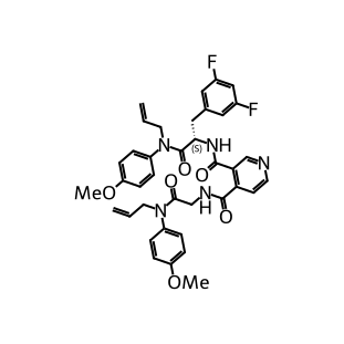 C=CCN(C(=O)CNC(=O)c1ccncc1C(=O)N[C@@H](Cc1cc(F)cc(F)c1)C(=O)N(CC=C)c1ccc(OC)cc1)c1ccc(OC)cc1